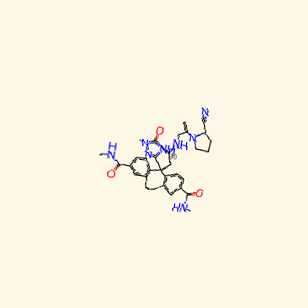 C=C(CN[C@H](C)CC1(c2nn(C)c(=O)[nH]2)c2ccc(C(=O)NC)cc2CCc2cc(C(=O)NC)ccc21)N1CCCC1C#N